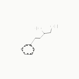 OCC(O)CCc1ccccc1